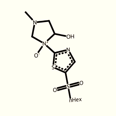 CCCCCCS(=O)(=O)c1cnc([N+]2([O-])CN(C)CC2O)s1